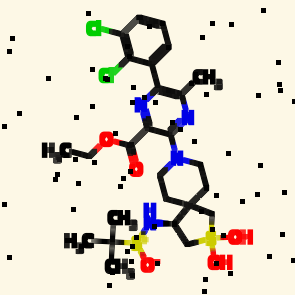 CCOC(=O)c1nc(-c2cccc(Cl)c2Cl)c(C)nc1N1CCC2(CC1)CS(O)(O)C[C@H]2N[S+]([O-])C(C)(C)C